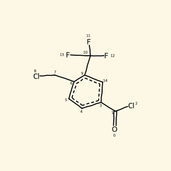 O=C(Cl)c1ccc(CCl)c(C(F)(F)F)c1